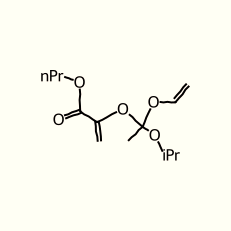 C=COC(C)(OC(=C)C(=O)OCCC)OC(C)C